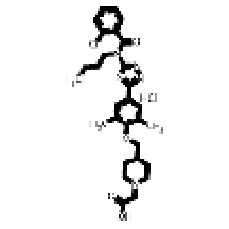 CCCCN(C(=O)c1ccccc1Cl)c1nnc(-c2cc(C)c(OCC3CCN(CC(=O)O)CC3)c(C)c2)s1.Cl